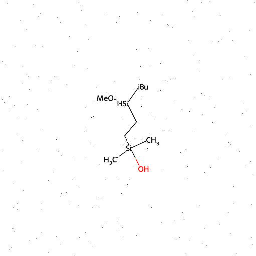 CCC(C)[SiH](CC[Si](C)(C)O)OC